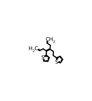 C=CCC(CCc1cccs1)=C(CC=C)c1cccs1